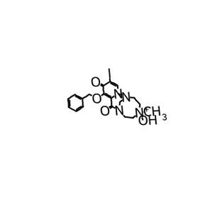 C[N+]1(O)CCN2CN(CC1)n1cc(I)c(=O)c(OCc3ccccc3)c1C2=O